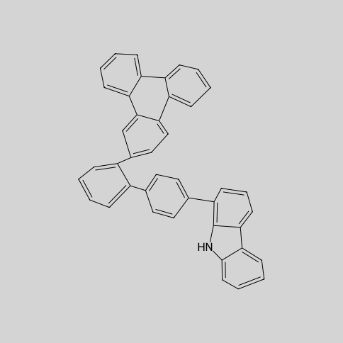 c1ccc(-c2ccc3c4ccccc4c4ccccc4c3c2)c(-c2ccc(-c3cccc4c3[nH]c3ccccc34)cc2)c1